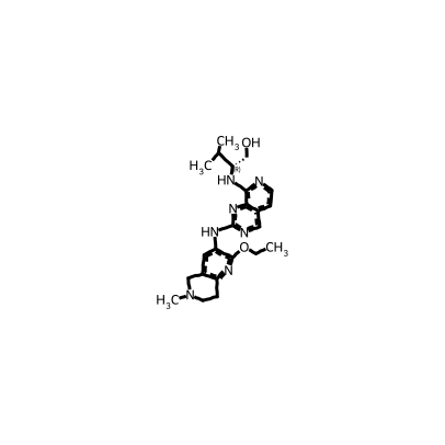 CCOc1nc2c(cc1Nc1ncc3ccnc(N[C@@H](CO)C(C)C)c3n1)CN(C)CC2